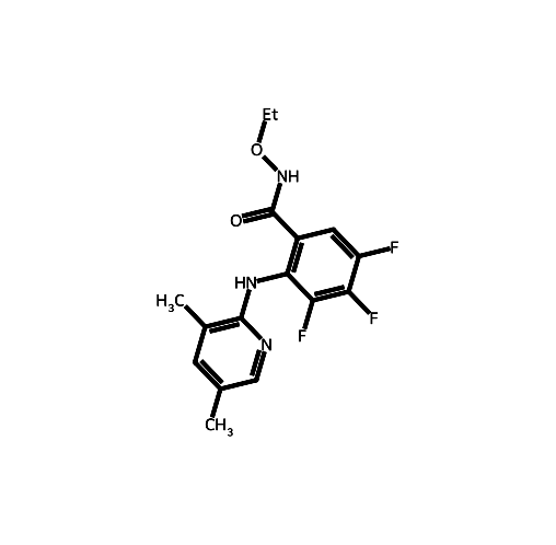 CCONC(=O)c1cc(F)c(F)c(F)c1Nc1ncc(C)cc1C